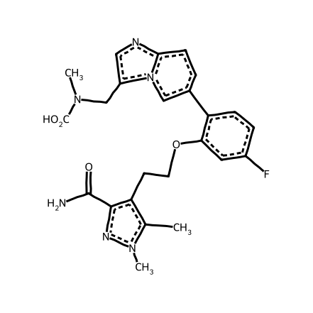 Cc1c(CCOc2cc(F)ccc2-c2ccc3ncc(CN(C)C(=O)O)n3c2)c(C(N)=O)nn1C